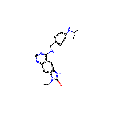 CCn1c(=O)[nH]c2cc3c(NCc4ccc(NC(C)C)cc4)ncnc3cc21